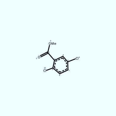 COC(=O)c1cc(Cl)ccc1Cl